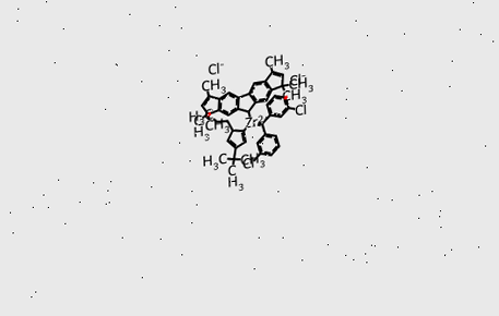 CCCC1C=C(C(C)(C)C)C=[C]1[Zr+2](=[C](c1cccc(Cl)c1)c1cccc(Cl)c1)[CH]1c2cc3c(cc2-c2cc4c(cc21)C(C)(C)C=C4C)C(C)=CC3(C)C.[Cl-].[Cl-]